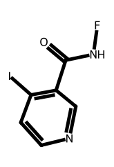 O=C(NF)c1cnccc1I